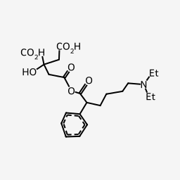 CCN(CC)CCCCC(C(=O)OC(=O)CC(O)(CC(=O)O)C(=O)O)c1ccccc1